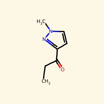 CCC(=O)c1ccn(C)n1